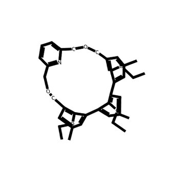 CCOc1c2cc(C)cc1-c1cc(C)cc(c1OCC)-c1cc(C)cc(c1OCC)COCc1cccc(n1)COC2